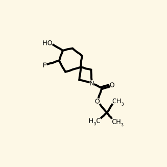 CC(C)(C)OC(=O)N1CC2(CCC(O)C(F)C2)C1